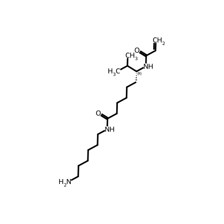 C=CC(=O)N[C@H](CCCCCC(=O)NCCCCCCN)C(C)C